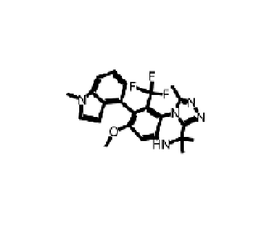 COc1cc2c(c(C(F)(F)F)c1-c1cccc3c1ccn3C)-n1c(C)nnc1C(C)(C)N2